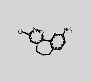 Nc1ccc2c(c1)-c1nnc(Cl)cc1CCC2